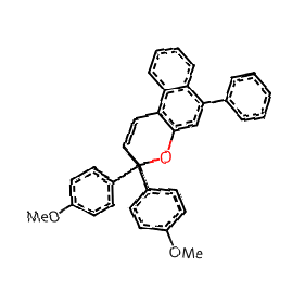 COc1ccc(C2(c3ccc(OC)cc3)C=Cc3c(cc(-c4ccccc4)c4ccccc34)O2)cc1